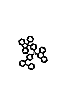 c1ccc(-c2ccccc2-c2ccc(N(c3cccc(C4(c5ccccc5)c5ccccc5-c5ccccc54)c3)c3cc4ccccc4c4ccccc34)cc2)cc1